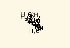 Cc1cnc2cc(-c3ccccc3)c(-c3ccc(C4(NC(=O)OC(C)(C)C)CCC4)cc3)nn12